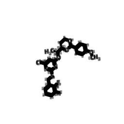 COc1ccc(C2OCC[C@H]([C@@H](C)Oc3cc(Cl)nc(SCc4cccc(F)c4F)n3)O2)cc1